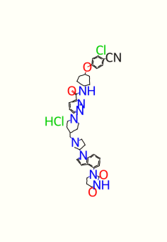 Cl.N#Cc1ccc(OC2CCC(NC(=O)c3ccc(N4CCC(CN5CC[C@@H](n6ccc7c(N8CCC(=O)NC8=O)cccc76)C5)CC4)nn3)CC2)cc1Cl